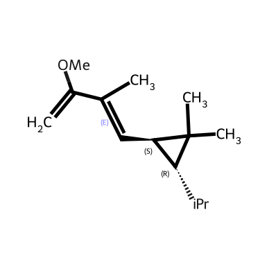 C=C(OC)/C(C)=C/[C@@H]1[C@@H](C(C)C)C1(C)C